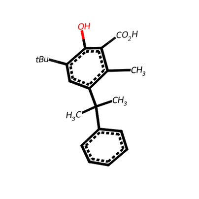 Cc1c(C(C)(C)c2ccccc2)cc(C(C)(C)C)c(O)c1C(=O)O